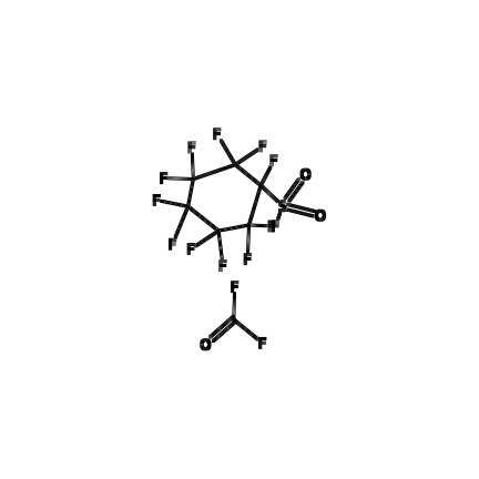 O=C(F)F.O=S(=O)(F)C1(F)C(F)(F)C(F)(F)C(F)(F)C(F)(F)C1(F)F